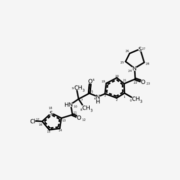 Cc1cc(NC(=O)C(C)(C)NC(=O)c2ccc(Cl)s2)ccc1C(=O)N1CCSC1